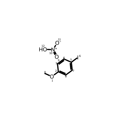 COc1ccc(I)cc1.O=[N+]([O-])O